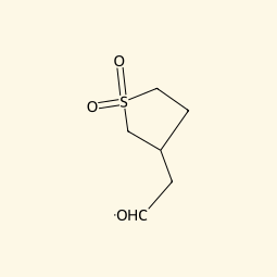 O=[C]CC1CCS(=O)(=O)C1